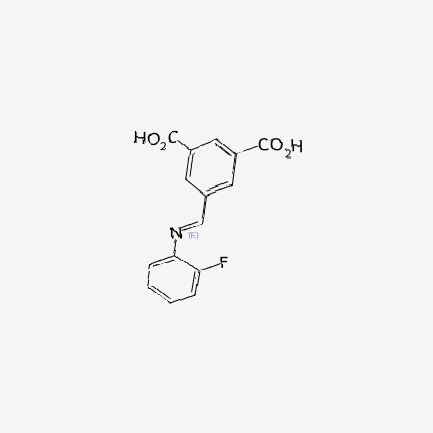 O=C(O)c1cc(/C=N/c2ccccc2F)cc(C(=O)O)c1